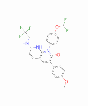 COc1ccc(-c2cc3c(n(-c4ccc(OC(F)F)cc4)c2=O)NC(NCC(F)(F)F)C=C3)cc1